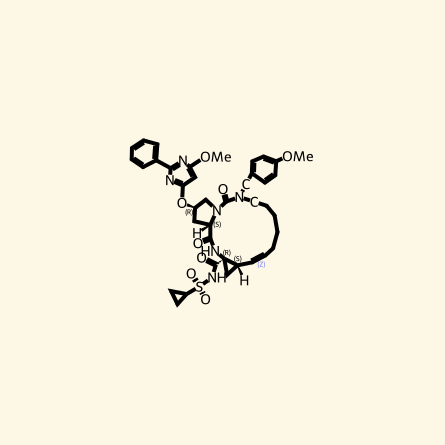 COc1ccc(CN2CCCCC/C=C\[C@@H]3C[C@@]3(C(=O)NS(=O)(=O)C3CC3)NC(=O)[C@@H]3C[C@@H](Oc4cc(OC)nc(-c5ccccc5)n4)CN3C2=O)cc1